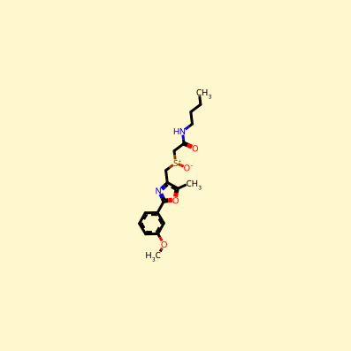 CCCCNC(=O)C[S+]([O-])Cc1nc(-c2cccc(OC)c2)oc1C